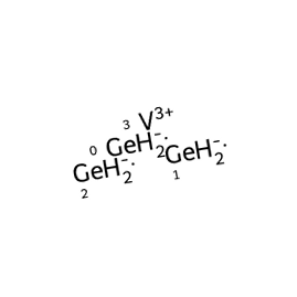 [GeH2-].[GeH2-].[GeH2-].[V+3]